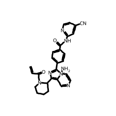 C=CC(=O)N1CCCCC1C1=C2C=NC=C[N+]2(N)C(c2ccc(C(=O)Nc3cc(C#N)ccn3)cc2)=N1